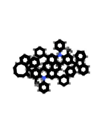 C=C1/C=C\C=C/Cc2ccccc2C1(c1ccccc1)c1cc(C)c(N(c2ccccc2)c2cc(C3CCCCC3)c3ccc4c(N(c5ccccc5)c5c(C)cc(C6(c7ccccc7)c7ccccc7-c7ccccc76)cc5C)cc(C5CCCCC5)c5ccc2c3c54)c(C)c1